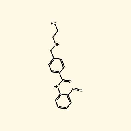 O=Nc1ccccc1NC(=O)c1ccc(CNCCO)cc1